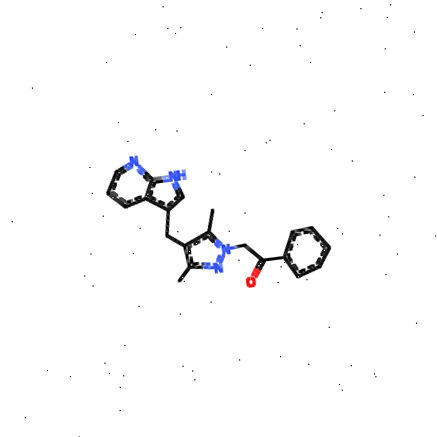 Cc1nn(CC(=O)c2ccccc2)c(C)c1Cc1c[nH]c2ncccc12